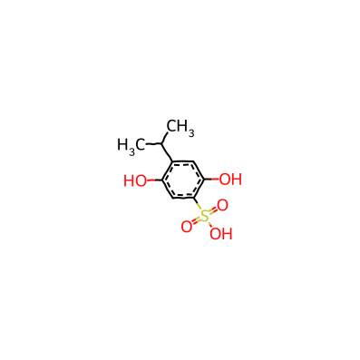 CC(C)c1cc(O)c(S(=O)(=O)O)cc1O